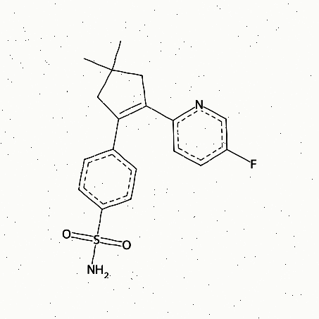 CC1(C)CC(c2ccc(S(N)(=O)=O)cc2)=C(c2ccc(F)cn2)C1